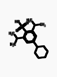 CC(C)c1cc(C2CCCCC2)cc(C(C)C)c1S(=O)(=O)O